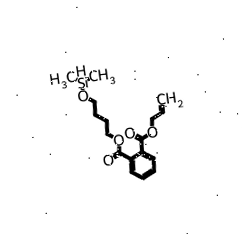 C=CCOC(=O)c1ccccc1C(=O)OCCCCO[SiH](C)C